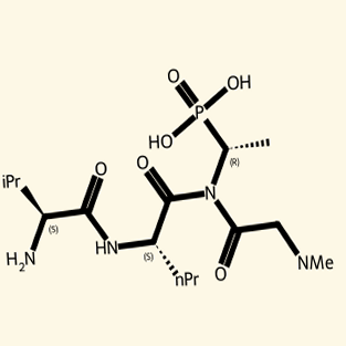 CCC[C@H](NC(=O)[C@@H](N)C(C)C)C(=O)N(C(=O)CNC)[C@@H](C)P(=O)(O)O